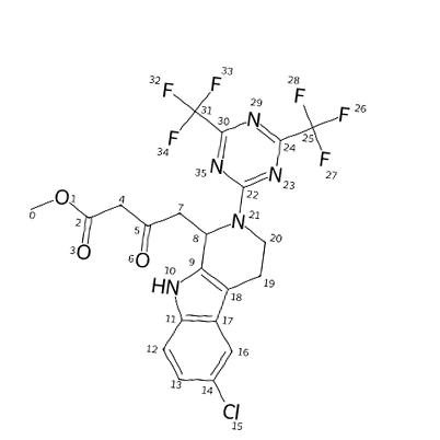 COC(=O)CC(=O)CC1c2[nH]c3ccc(Cl)cc3c2CCN1c1nc(C(F)(F)F)nc(C(F)(F)F)n1